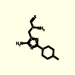 CN1CCN(c2nc(N)n(CN(N)C=S)n2)CC1